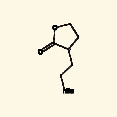 CCCCCC[C]1CCOC1=O